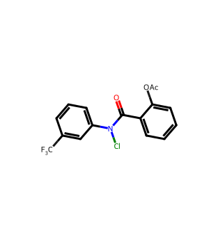 CC(=O)Oc1ccccc1C(=O)N(Cl)c1cccc(C(F)(F)F)c1